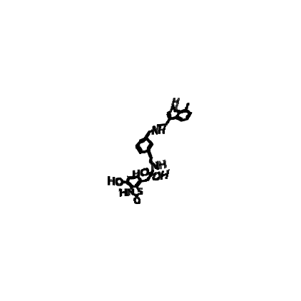 Cc1cccc2c(CCNCc3cccc(CCNC(O)(O)Cc4ccc(O)c5[nH]c(=O)sc45)c3)c[nH]c12